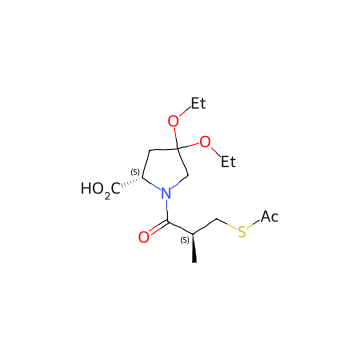 CCOC1(OCC)C[C@@H](C(=O)O)N(C(=O)[C@H](C)CSC(C)=O)C1